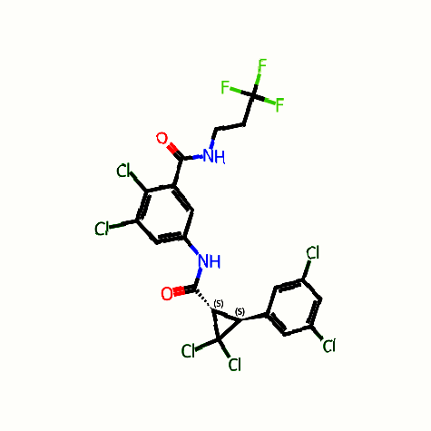 O=C(NCCC(F)(F)F)c1cc(NC(=O)[C@@H]2[C@@H](c3cc(Cl)cc(Cl)c3)C2(Cl)Cl)cc(Cl)c1Cl